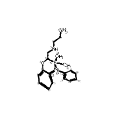 NCCNCC1Oc2ccccc2N(c2ccccc2)S1(O)O